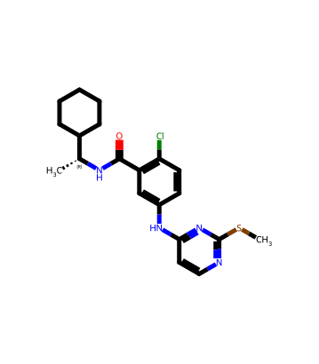 CSc1nccc(Nc2ccc(Cl)c(C(=O)N[C@H](C)C3CCCCC3)c2)n1